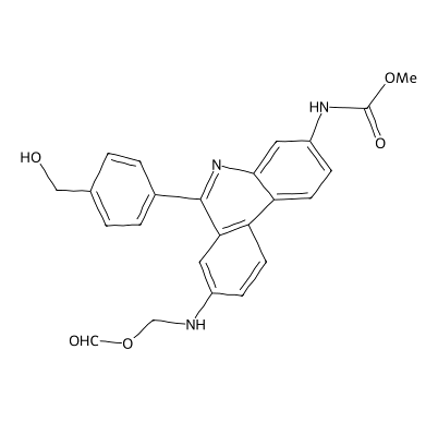 COC(=O)Nc1ccc2c(c1)nc(-c1ccc(CO)cc1)c1cc(NCOC=O)ccc12